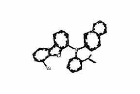 CC(C)c1ccccc1N(c1ccc2ccccc2c1)c1cccc2c1oc1c(Br)cccc12